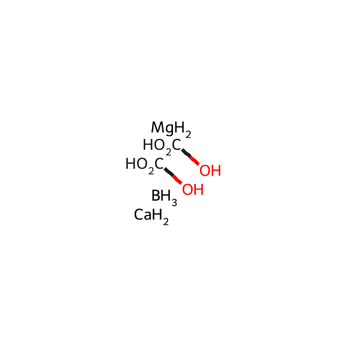 B.O=C(O)O.O=C(O)O.[CaH2].[MgH2]